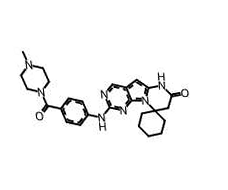 CN1CCN(C(=O)c2ccc(Nc3ncc4cc5n(c4n3)C3(CCCCC3)CC(=O)N5)cc2)CC1